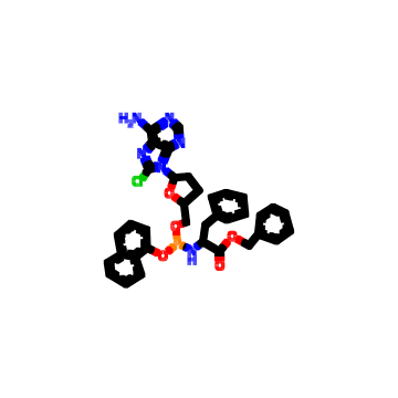 Nc1ncnc2c1nc(Cl)n2C1CCC(COP(NC(Cc2ccccc2)C(=O)OCc2ccccc2)Oc2cccc3ccccc23)O1